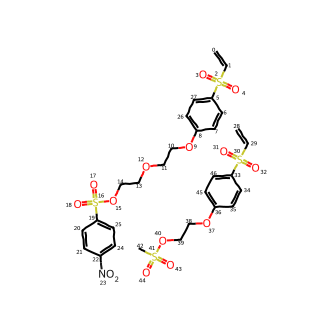 C=CS(=O)(=O)c1ccc(OCCOCCOS(=O)(=O)c2ccc([N+](=O)[O-])cc2)cc1.C=CS(=O)(=O)c1ccc(OCCOS(C)(=O)=O)cc1